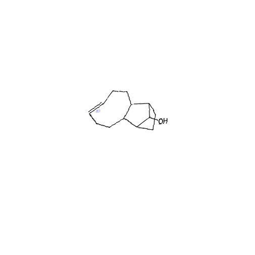 OC1C2CCC1C1CC/C=C/CCC21